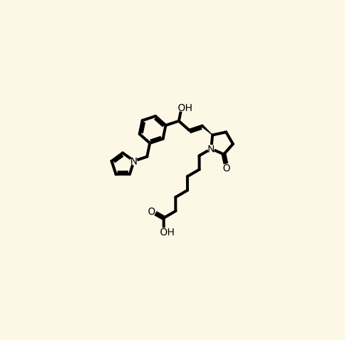 O=C(O)CCCCCCN1C(=O)CC[C@@H]1C=CC(O)c1cccc(Cn2cccc2)c1